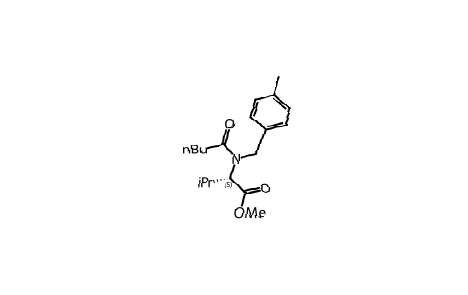 CCCCC(=O)N(Cc1ccc(C)cc1)[C@H](C(=O)OC)C(C)C